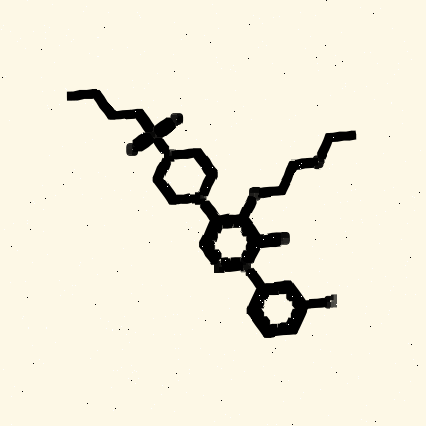 CCCCS(=O)(=O)N1CCN(c2cnn(-c3cccc(Cl)c3)c(=O)c2OCCOCC)CC1